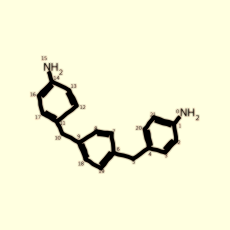 Nc1ccc(Cc2ccc(Cc3ccc(N)cc3)cc2)cc1